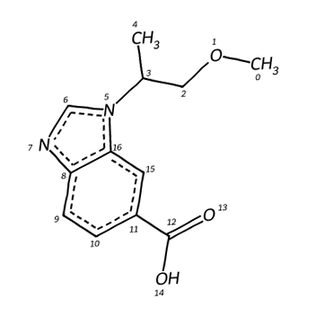 COCC(C)n1cnc2ccc(C(=O)O)cc21